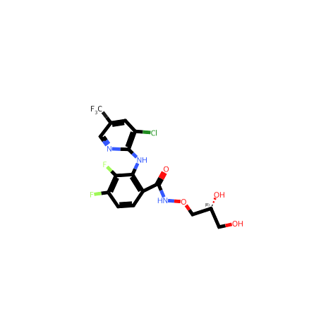 O=C(NOC[C@H](O)CO)c1ccc(F)c(F)c1Nc1ncc(C(F)(F)F)cc1Cl